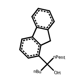 CCCCCC(O)(CCCC)c1cccc2c1Cc1ccccc1-2